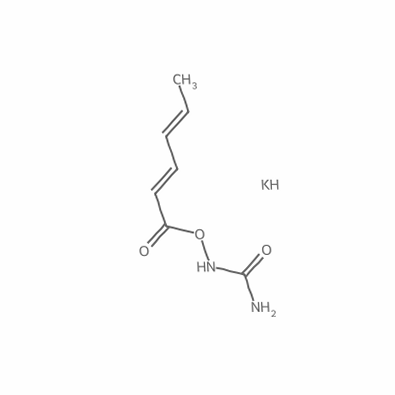 C/C=C/C=C/C(=O)ONC(N)=O.[KH]